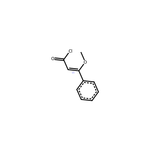 CO/C(=C\C(=O)Cl)c1ccccc1